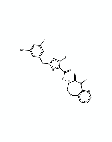 CN1C(=O)[C@@H](NC(=O)c2nn(Cc3cc(F)cc(C#N)c3)cc2F)COc2cccnc21